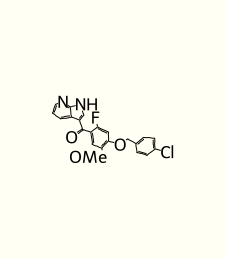 COc1cc(C(=O)c2c[nH]c3ncccc23)c(F)cc1OCc1ccc(Cl)cc1